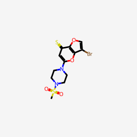 CS(=O)(=O)N1CCN(c2cc(=S)c3occ(Br)c3o2)CC1